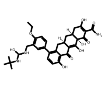 CCOc1ccc(-c2ccc(O)c3c2C[C@H]2C[C@H]4CC(O)=C(C(N)=O)C(=O)[C@@]4(O)C(O)=C2C3=O)cc1CNC(O)NC(C)(C)C